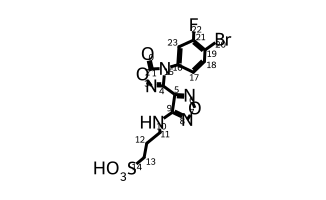 O=c1onc(-c2nonc2NCCCS(=O)(=O)O)n1-c1ccc(Br)c(F)c1